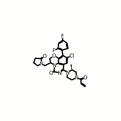 C=CC(=O)N1CCN(c2nc(=O)n3c4c(c(-c5ccc(F)cc5F)c(Cl)cc24)OCC3CN2CCCC2=O)[C@@H](C)C1